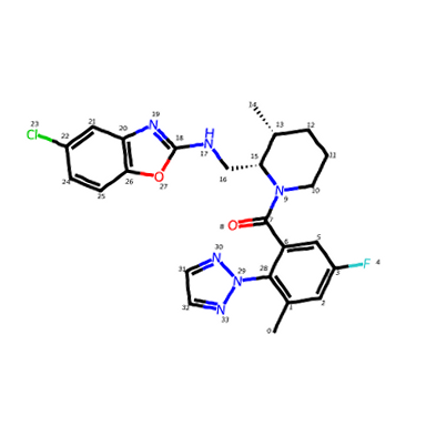 Cc1cc(F)cc(C(=O)N2CCC[C@@H](C)[C@H]2CNc2nc3cc(Cl)ccc3o2)c1-n1nccn1